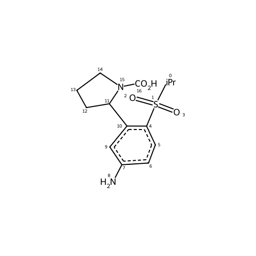 CC(C)S(=O)(=O)c1ccc(N)cc1C1CCCN1C(=O)O